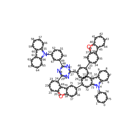 c1ccc(-n2c3ccccc3c3ccc(-c4ccc5oc6cccc(-c7nc(-c8cccc(-c9ccc%10c(c9)oc9ccccc9%10)c8)nc(-c8cccc(-n9c%10ccccc%10c%10ccccc%109)c8)n7)c6c5c4)cc32)cc1